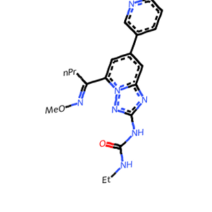 CCCC(=NOC)c1cc(-c2cccnc2)cc2nc(NC(=O)NCC)nn12